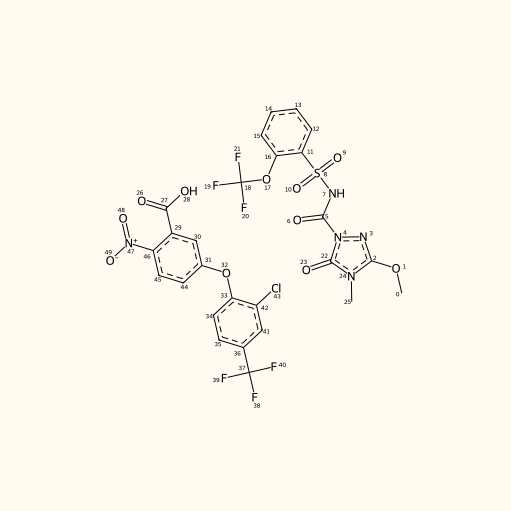 COc1nn(C(=O)NS(=O)(=O)c2ccccc2OC(F)(F)F)c(=O)n1C.O=C(O)c1cc(Oc2ccc(C(F)(F)F)cc2Cl)ccc1[N+](=O)[O-]